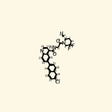 N#C[C@@H]1CCC(F)(F)CN1C(=O)CNC(=O)c1ccnc2ccc(-c3ccc4cc(Cl)ccc4c3)cc12